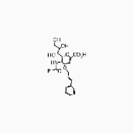 CC(C)C(=O)N[C@H]1[C@H]([C@H](O)[C@H](O)CO)OC(C(=O)O)=C[C@H]1OCC=Cc1ccccc1